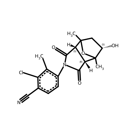 Cc1c(N2C(=O)[C@@H]3[C@H](C2=O)C2(C)C[C@H](O)C3(C)O2)ccc(C#N)c1Cl